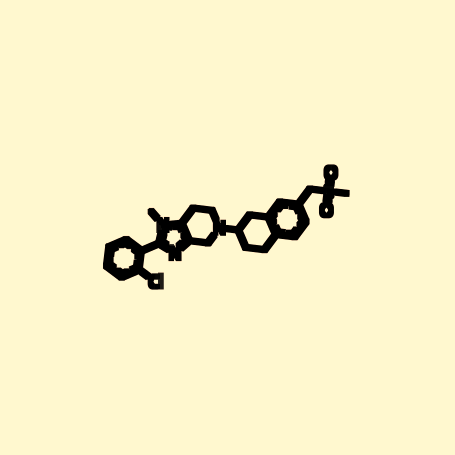 Cn1c(-c2ccccc2Cl)nc2c1CCN(C1CCc3ccc(CS(C)(=O)=O)cc3C1)C2